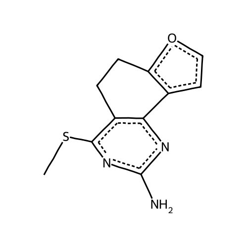 CSc1nc(N)nc2c1CCc1occc1-2